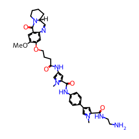 COc1cc2c(cc1OCCCC(=O)Nc1cc(C(=O)Nc3ccc(-c4cc(C(=O)NCCN)n(C)c4)cc3)n(C)c1)N=C[C@H]1CCCCN1C2=O